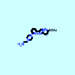 CNC(=N)/C=C\c1ncc(-c2cccc(N3CCN(CCN)CC3)n2)[nH]1